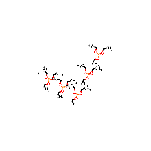 CCOP(OCC)OCC.CCOP(OCC)OCC.CCOP(OCC)OCC.CCOP(OCC)OCC.CCOP(OCC)OCC.[Cr]